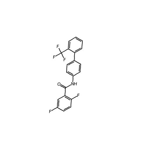 O=C(Nc1ccc(-c2ccccc2C(F)(F)F)cc1)c1cc(F)ccc1F